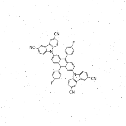 N#Cc1ccc2c(c1)c1cc(C#N)ccc1n2-c1ccc2c(-c3ccc(F)cc3)c3cc(-n4c5ccc(C#N)cc5c5cc(C#N)ccc54)ccc3c(-c3ccc(F)cc3)c2c1